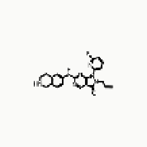 C=CCn1c(=O)c2cnc(Nc3ccc4c(c3)CCNC4)nc2n1-c1cccc(F)n1